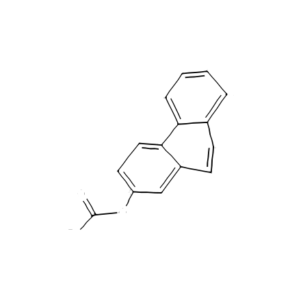 CCC(=O)Oc1ccc2c(ccc3ccccc32)c1